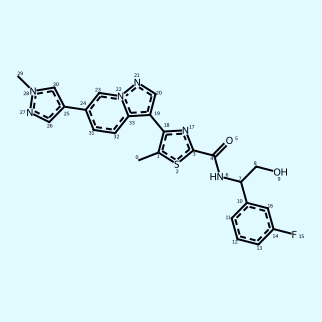 Cc1sc(C(=O)NC(CO)c2cccc(F)c2)nc1-c1cnn2cc(-c3cnn(C)c3)ccc12